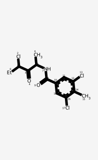 CCC(Cl)C(=O)C(C)NC(=O)c1cc(Cl)c(C)c(Cl)c1